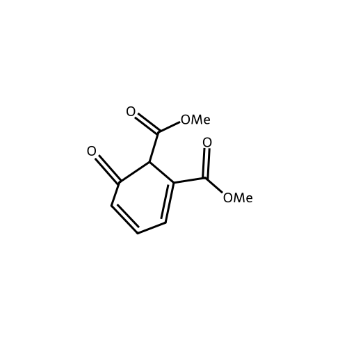 COC(=O)C1=CC=CC(=O)C1C(=O)OC